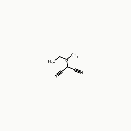 CCN(C)C(C#N)C#N